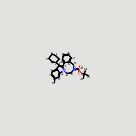 Cc1ccc2c(C3CCCCC3)c3n(c2c1)CCN(C(=O)OC(C)(C)C)Cc1ccccc1-3